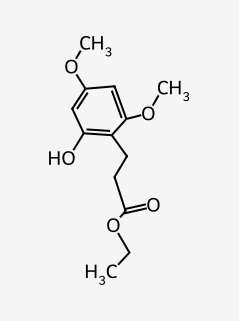 CCOC(=O)CCc1c(O)cc(OC)cc1OC